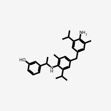 Cc1cc(Cc2cc(C)c(NC(C)c3cccc(O)c3)c(C(C)C)c2)cc(C(C)C)c1N